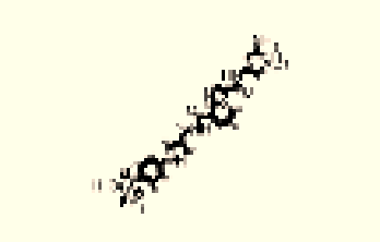 CC(C)C[C@@H](CO)NC(=O)c1cnc2c(C(=O)NCc3cnn(-c4ccc(S(=O)(=O)N(C)C)c(F)c4)c3)cccn12